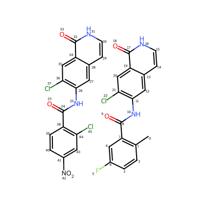 Cc1ccc(F)cc1C(=O)Nc1cc2cc[nH]c(=O)c2cc1Cl.O=C(Nc1cc2cc[nH]c(=O)c2cc1Cl)c1ccc([N+](=O)[O-])cc1Cl